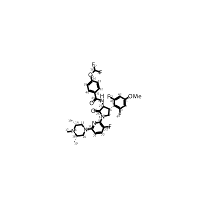 COc1cc(F)c([C@@H]2CN(c3nc(N4C[C@@H](C)N(C)[C@@H](C)C4)ccc3F)C(=O)[C@H]2NC(=O)c2ccc(OC(F)F)cc2)c(F)c1